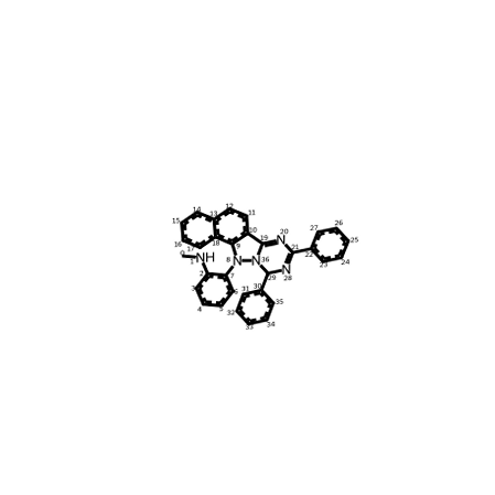 CNc1ccccc1N1c2c(ccc3ccccc23)C2=NC(c3ccccc3)=NC(c3ccccc3)N21